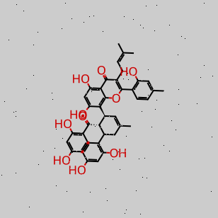 CC(C)=CCc1c(-c2ccc(C)cc2O)oc2c([C@H]3C=C(C)CC(c4ccc(O)cc4O)[C@@H]3C(=O)c3ccc(O)cc3O)c(O)cc(O)c2c1=O